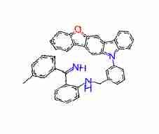 Cc1cccc(C(=N)c2ccccc2NCc2cccc(-n3c4ccccc4c4cc5oc6ccccc6c5cc43)c2)c1